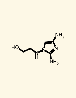 Nc1cn(NCCO)c(N)n1